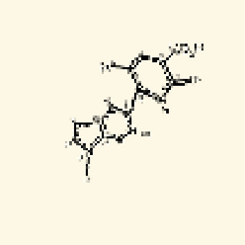 CCc1cc(C(=O)O)c(=O)[nH]c1-c1cc2ccn(C)c2cn1